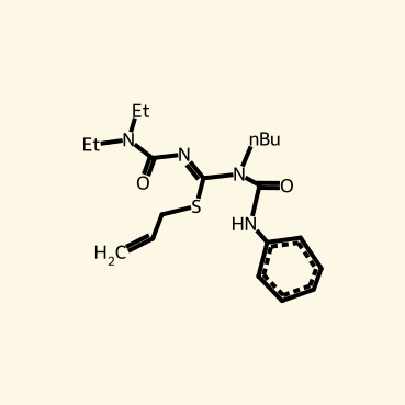 C=CCSC(=NC(=O)N(CC)CC)N(CCCC)C(=O)Nc1ccccc1